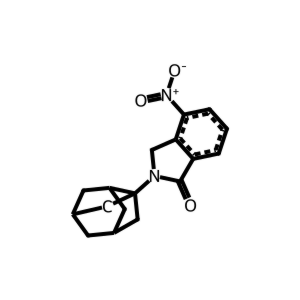 O=C1c2cccc([N+](=O)[O-])c2CN1C12CC3CC(CC1C3)C2